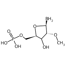 B[C@@H]1O[C@H](COP(=O)(O)O)C(O)[C@H]1OC